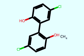 C.Oc1ccc(Cl)cc1-c1cc(Cl)ccc1O